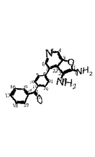 Nc1oc2cncc(-c3ccc(C(=O)c4ccccc4)cc3)c2c1N